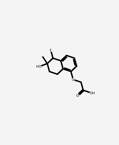 [CH2]C1(O)CCc2c(OCC(=O)O)cccc2C1F